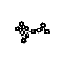 C1=CCCC(n2c3ccccc3c3cc(-c4ccc(N(c5ccc6c(c5)C(c5ccccc5)(c5ccccc5)c5ccccc5-6)c5ccc6c(c5)oc5ccccc56)cc4)ccc32)=C1